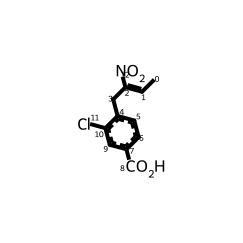 CC=C(Cc1ccc(C(=O)O)cc1Cl)[N+](=O)[O-]